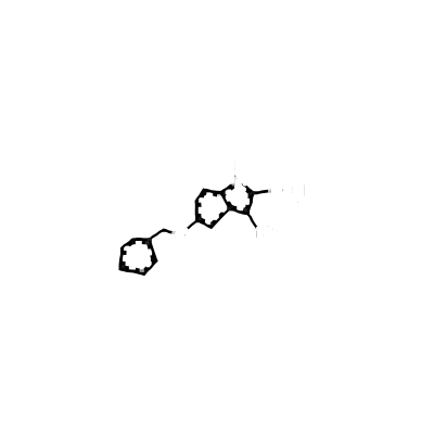 CCCc1c(C(=O)O)[nH]c2ccc(OCc3ccccc3)cc12